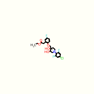 CCOC(=O)Cc1cc(F)ccc1OC[C@]1(O)CCN(c2c(F)cc(Cl)cc2F)C[C@H]1O